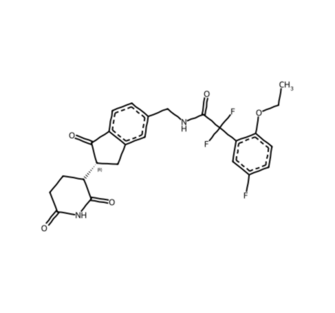 CCOc1ccc(F)cc1C(F)(F)C(=O)NCc1ccc2c(c1)C[C@H](C1CCC(=O)NC1=O)C2=O